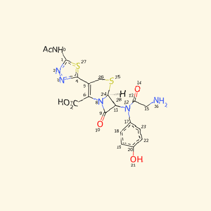 CC(=O)Nc1nnc(C2=C(C(=O)O)N3C(=O)C(N(C(=O)CN)c4ccc(O)cc4)[C@@H]3SC2)s1